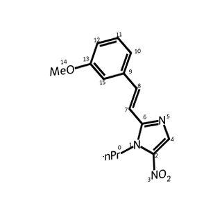 CC[CH]n1c([N+](=O)[O-])cnc1C=Cc1cccc(OC)c1